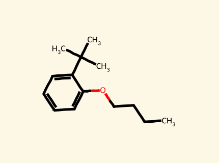 CCCCOc1c[c]ccc1C(C)(C)C